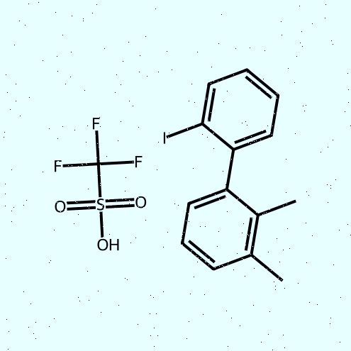 Cc1cccc(-c2ccccc2I)c1C.O=S(=O)(O)C(F)(F)F